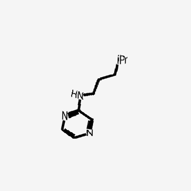 CC(C)CCCNc1cnccn1